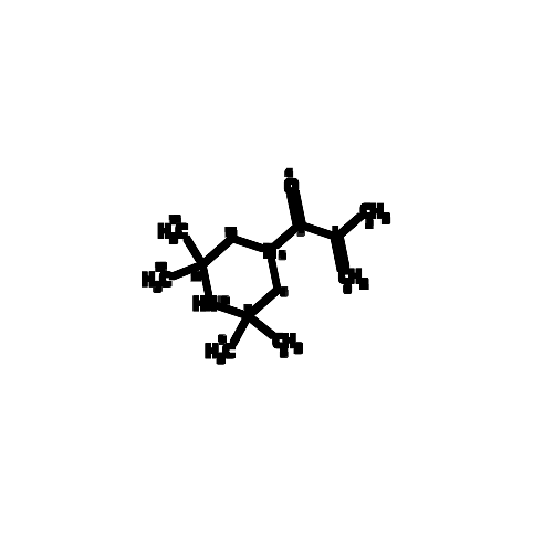 C=C(C)C(=O)N1CC(C)(C)NC(C)(C)C1